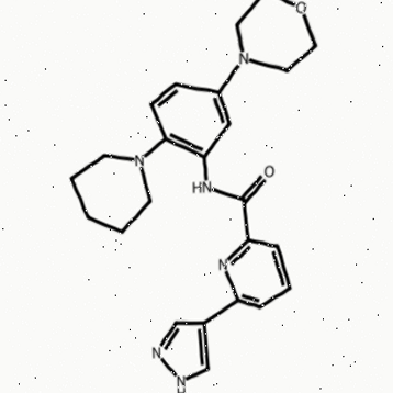 O=C(Nc1cc(N2CCOCC2)ccc1N1CCCCC1)c1cccc(-c2cn[nH]c2)n1